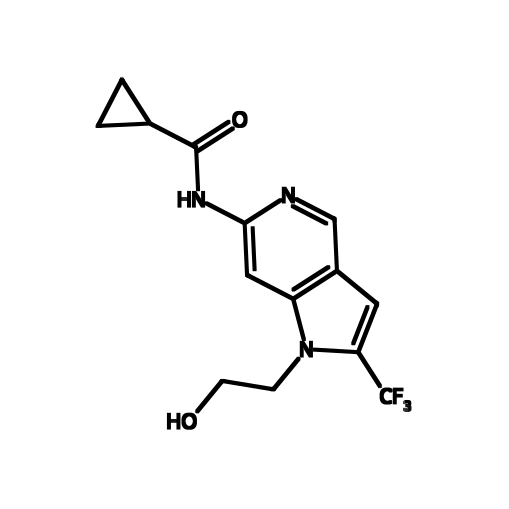 O=C(Nc1cc2c(cn1)cc(C(F)(F)F)n2CCO)C1CC1